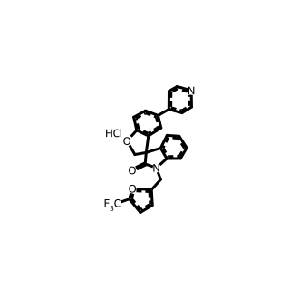 Cl.O=C1N(Cc2ccc(C(F)(F)F)o2)c2ccccc2C12COc1ccc(-c3ccncc3)cc12